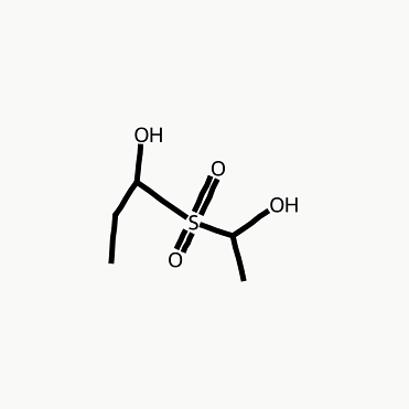 CCC(O)S(=O)(=O)C(C)O